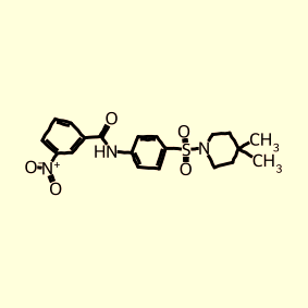 CC1(C)CCN(S(=O)(=O)c2ccc(NC(=O)c3cccc([N+](=O)[O-])c3)cc2)CC1